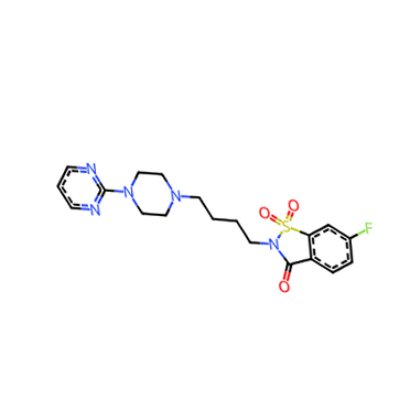 O=C1c2ccc(F)cc2S(=O)(=O)N1CCCCN1CCN(c2ncccn2)CC1